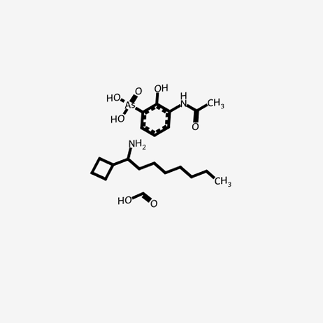 CC(=O)Nc1cccc([As](=O)(O)O)c1O.CCCCCCCC(N)C1CCC1.O=CO